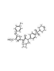 O=C(O)c1nc(NC(=O)C(OC2CCC2)c2ccc(S(=O)(=O)C3CCOCC3)cc2)sc1Oc1ccc(F)cc1